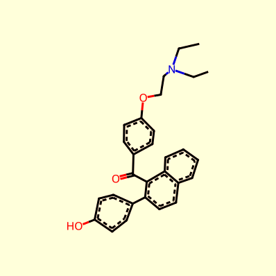 CCN(CC)CCOc1ccc(C(=O)c2c(-c3ccc(O)cc3)ccc3ccccc23)cc1